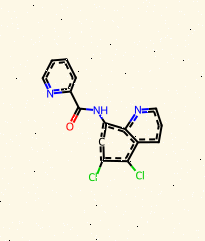 O=C(Nc1cc(Cl)c(Cl)c2cccnc12)c1ccccn1